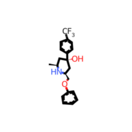 C[C@H]1C[C@@](O)(c2ccc(C(F)(F)F)cc2)C[C@@H](COc2ccccc2)N1